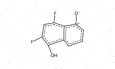 [O-][n+]1cccc2c(O)c(F)cc(F)c21